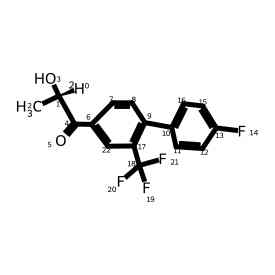 [2H][C@@](C)(O)C(=O)c1ccc(-c2ccc(F)cc2)c(C(F)(F)F)c1